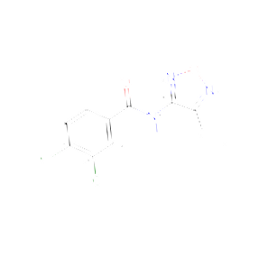 Cc1nonc1NC(=O)c1ccc(Cl)c(Cl)c1